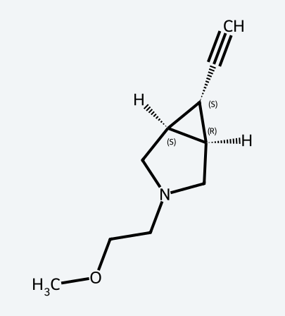 C#C[C@@H]1[C@H]2CN(CCOC)C[C@@H]12